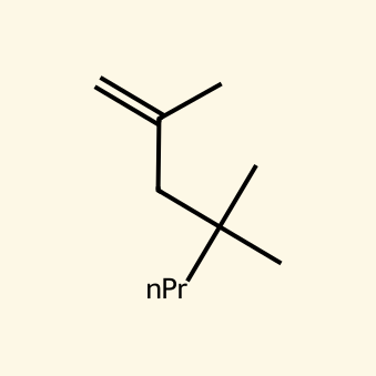 C=C(C)CC(C)(C)CCC